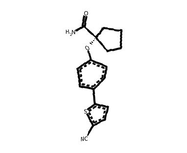 N#Cc1ccc(-c2ccc(O[C@]3(C(N)=O)[CH]CCC3)cc2)s1